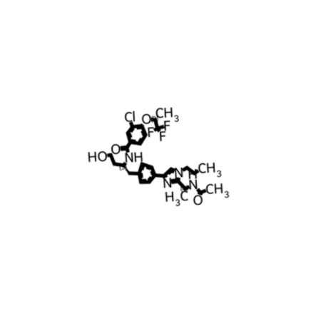 CCCn1cc(-c2ccc(C[C@@H](CCO)NC(=O)c3ccc(O[C@H](C)C(F)(F)F)c(Cl)c3)cc2)nc1[C@@H](C)NC(C)=O